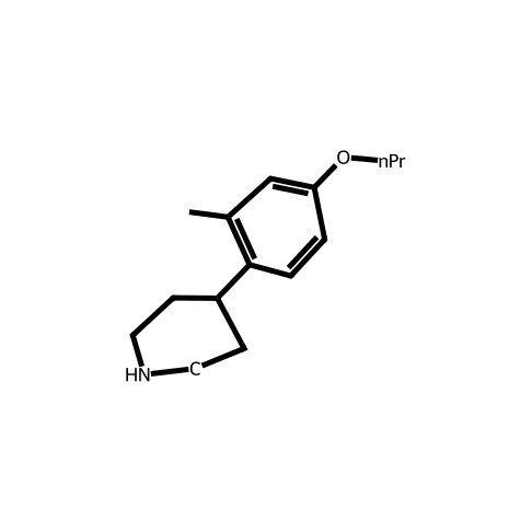 CCCOc1ccc(C2CCNCC2)c(C)c1